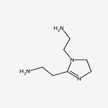 NCCC1=NCCN1CCN